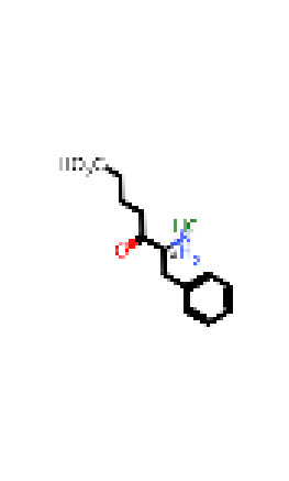 Cl.N[C@@H](Cc1ccccc1)C(=O)CCCC(=O)O